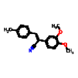 COc1ccc(C(C#N)=Cc2ccc(C)cc2)cc1OC